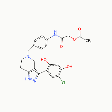 O=C(COC(=O)C(F)(F)F)Nc1ccc(CN2CCc3[nH]nc(-c4cc(Cl)c(O)cc4O)c3C2)cc1